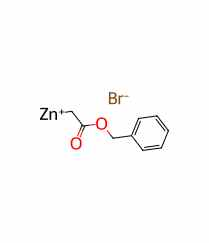 O=C([CH2][Zn+])OCc1ccccc1.[Br-]